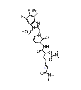 CC(C)Cc1c(F)c(F)cc2c1nc(Cn1cccc(NC(=O)C(CC/C=C/C(=O)N(C)C)OC(=O)N(C)C)c1=O)n2C(=O)O